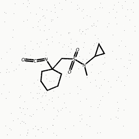 CN(C1CC1)S(=O)(=O)CC1(N=C=O)CCCCC1